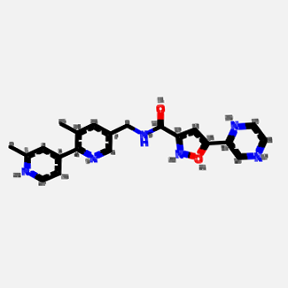 Cc1cc(-c2ncc(CNC(=O)c3cc(-c4cnccn4)on3)cc2C)ccn1